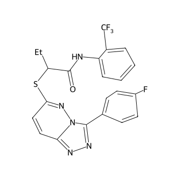 CCC(Sc1ccc2nnc(-c3ccc(F)cc3)n2n1)C(=O)Nc1ccccc1C(F)(F)F